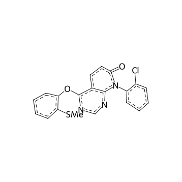 CSc1ccccc1Oc1ncnc2c1ccc(=O)n2-c1ccccc1Cl